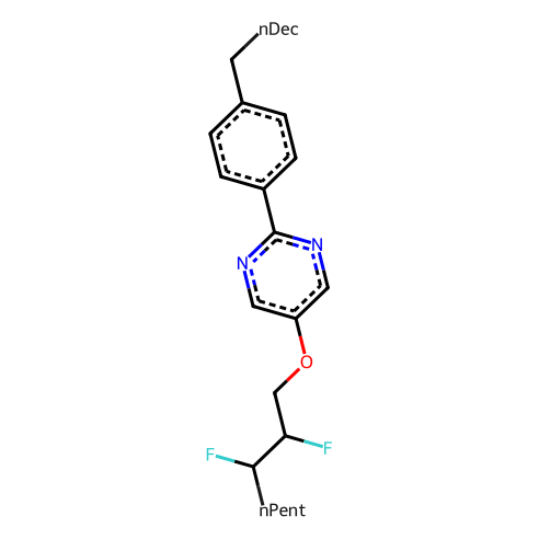 CCCCCCCCCCCc1ccc(-c2ncc(OCC(F)C(F)CCCCC)cn2)cc1